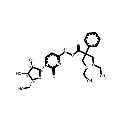 CCOCC(COCC)(C(=O)ONc1ccn([C@@H]2O[C@H](CO)[C@@H](O)[C@H]2O)c(=O)n1)c1ccccc1